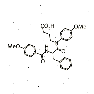 COc1ccc(C(=O)N[C@@H](Cc2ccccc2)C(=O)N(CCCC(=O)O)c2ccc(OC)cc2)cc1